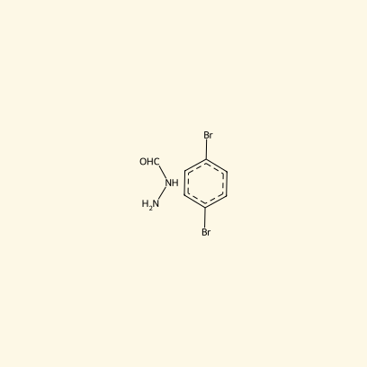 Brc1ccc(Br)cc1.NNC=O